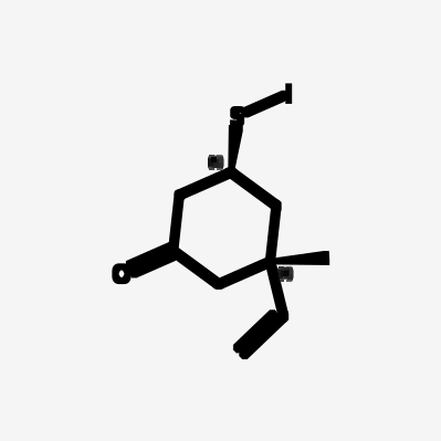 C=C[C@]1(C)CC(=O)C[C@@H](SI)C1